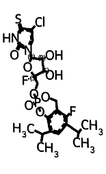 CC(C)c1cc(C(C)C)c2c(c1F)COP(=O)(OC[C@@]1(F)O[C@@H](n3cc(Cl)c(=S)[nH]c3=O)[C@H](O)[C@@H]1O)O2